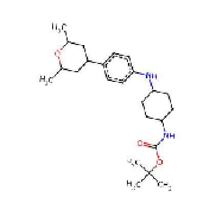 CC1CC(c2ccc(NC3CCC(NC(=O)OC(C)(C)C)CC3)cc2)CC(C)O1